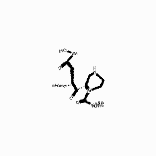 CCCCCC[C@H](CC(=O)NO)C(=O)[C@@H]1CNCCN1C(=O)NC